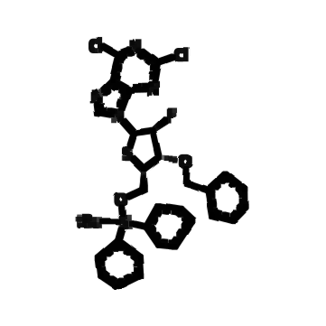 CC(C)(C)[Si](OC[C@H]1SC(n2cnc3c(Cl)nc(Cl)nc32)[C@@H](F)[C@@H]1OCc1ccccc1)(c1ccccc1)c1ccccc1